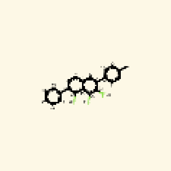 Cc1ccc(-c2cc3ccc(-c4ccccc4)c(F)c3c(F)c2F)cc1